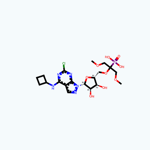 COCC(COC)(OC[C@H]1O[C@@H](n2ncc3c(NC4CCC4)nc(Cl)nc32)[C@H](O)[C@@H]1O)P(=O)(O)O